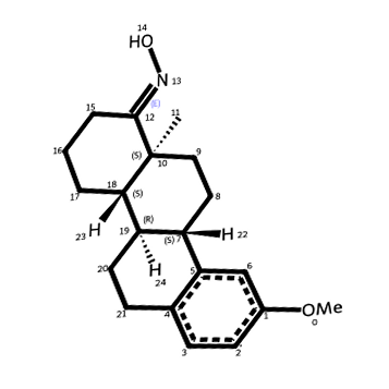 COc1[c]cc2c(c1)[C@H]1CC[C@]3(C)/C(=N/O)CCC[C@H]3[C@@H]1CC2